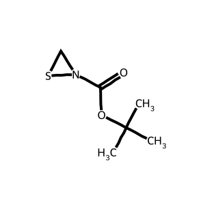 CC(C)(C)OC(=O)N1CS1